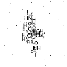 CC1(C)CC(NC(=O)CNC(=O)CI)C(C)(C)N1ON1C(C)(C)CC(NC(=O)CNC(=O)CI)C1(C)C